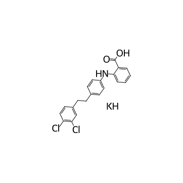 O=C(O)c1ccccc1Nc1ccc(CCc2ccc(Cl)c(Cl)c2)cc1.[KH]